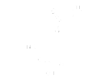 C=CC(=O)OCC(C)CS(=O)(=O)O